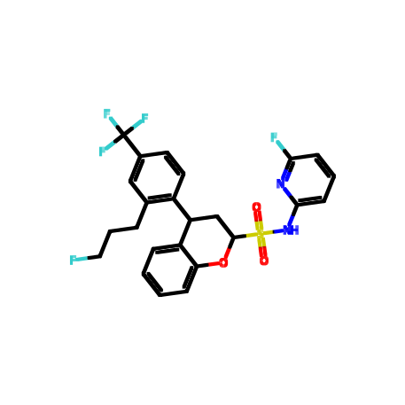 O=S(=O)(Nc1cccc(F)n1)C1CC(c2ccc(C(F)(F)F)cc2CCCF)c2ccccc2O1